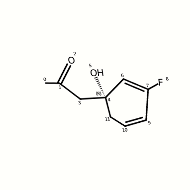 CC(=O)C[C@@]1(O)C=C(F)C=CC1